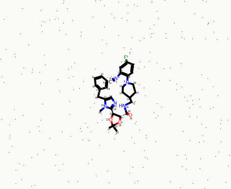 [C-]#[N+]c1cc(F)ccc1N1CCC(CNC(=O)[C@@H]2OC(C)(C)O[C@H]2c2ncc(Cc3ccccc3)n2C)CC1